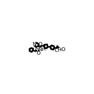 O=CC1(c2ccc(-c3ccc(-c4oc5cnccc5c4NC(=O)OCc4ccccc4)cc3)cc2)CC1